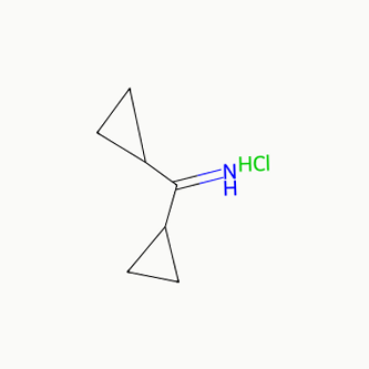 Cl.N=C(C1CC1)C1CC1